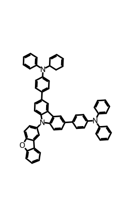 C1=CCC(N(c2ccccc2)c2ccc(-c3ccc4c(c3)c3cc(-c5ccc(N(c6ccccc6)c6ccccc6)cc5)ccc3n4-c3ccc4oc5ccccc5c4c3)cc2)C=C1